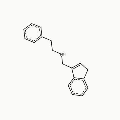 C1=C(CNCCc2ccccc2)c2ccccc2C1